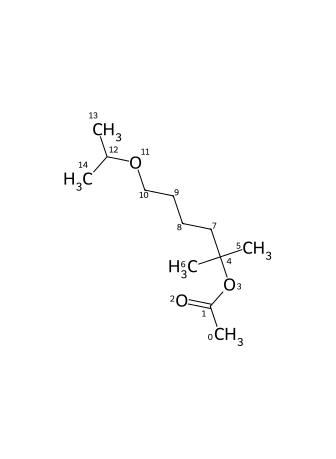 CC(=O)OC(C)(C)CCCCOC(C)C